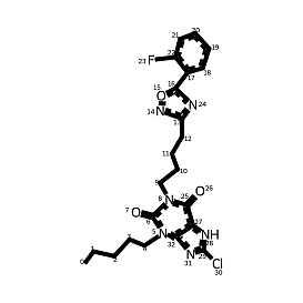 CCCCCn1c(=O)n(CCCCc2noc(-c3ccccc3F)n2)c(=O)c2[nH]c(Cl)nc21